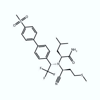 CSCC[C@@H](C#N)N([C@@H](c1ccc(-c2ccc(S(C)(=O)=O)cc2)cc1)C(F)(F)F)[C@@H](CC(C)C)C(N)=O